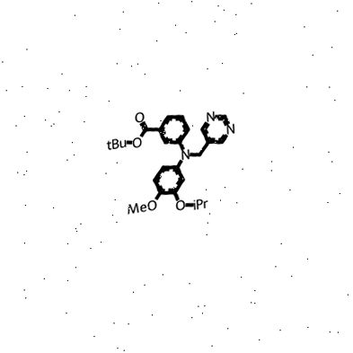 COc1ccc(N(Cc2cncnc2)c2cccc(C(=O)OC(C)(C)C)c2)cc1OC(C)C